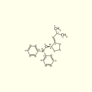 CC(C)C=C1CCC[C@H]1OP(c1ccccc1)c1ccccc1